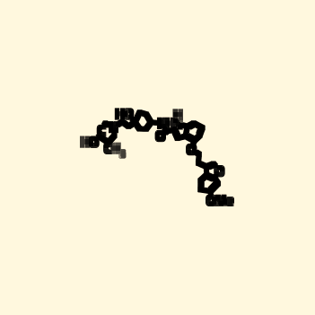 COc1ccc2c(CCOc3cccc4[nH]c(C(=O)NC5CCC(O)(CCN6CC[C@H](O)[C@@H](C)C6)CC5)cc34)coc2c1